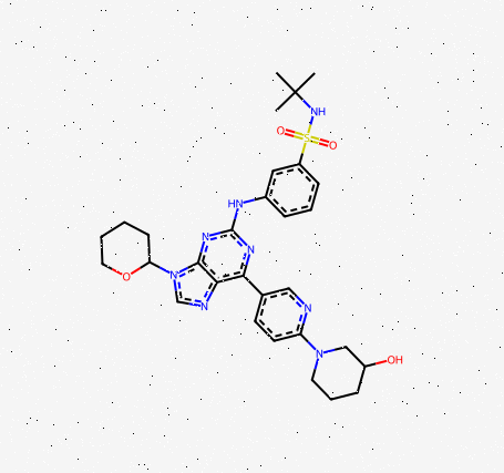 CC(C)(C)NS(=O)(=O)c1cccc(Nc2nc(-c3ccc(N4CCCC(O)C4)nc3)c3ncn(C4CCCCO4)c3n2)c1